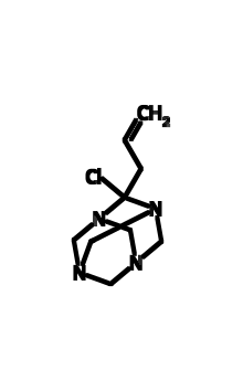 C=CCC1(Cl)N2CN3CN(C2)CN1C3